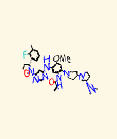 C=CC(=O)Nc1cc(Nc2cc(N3OCC[C@@H]3c3cccc(C)c3F)ncn2)c(OC)cc1N1CCC(N2CC[C@H](N(C)C)C2)CC1